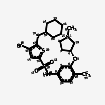 CN1CC[C@@H](Oc2cc(NS(=O)(=O)c3cc(Br)c(SC4CCCCC4)s3)ccc2C(F)(F)F)C1